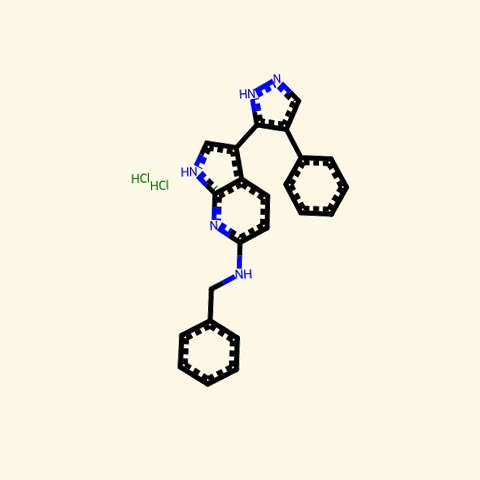 Cl.Cl.c1ccc(CNc2ccc3c(-c4[nH]ncc4-c4ccccc4)c[nH]c3n2)cc1